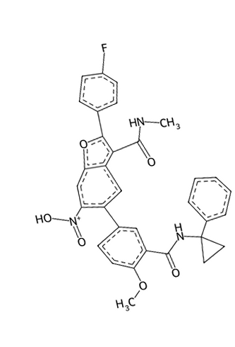 CNC(=O)c1c(-c2ccc(F)cc2)oc2cc([N+](=O)O)c(-c3ccc(OC)c(C(=O)NC4(c5ccccc5)CC4)c3)cc12